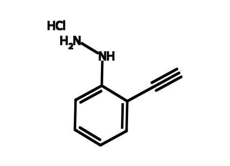 C#Cc1ccccc1NN.Cl